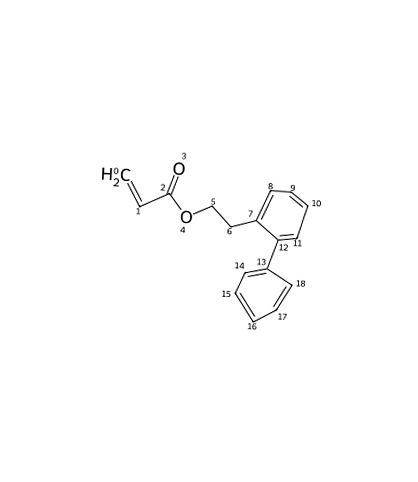 C=CC(=O)OCCc1ccccc1-c1ccccc1